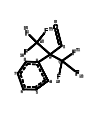 O=CC(c1ccccc1)(C(F)(F)F)C(F)(F)F